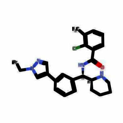 CC(C)Cn1cc(-c2cccc([C@H](NC(=O)c3cccc(C(F)(F)F)c3Cl)[C@@H]3CCCCN3)c2)cn1